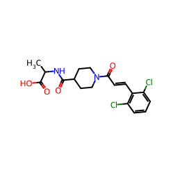 CC(NC(=O)C1CCN(C(=O)/C=C/c2c(Cl)cccc2Cl)CC1)C(=O)O